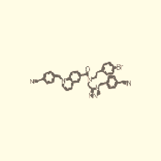 N#Cc1ccc(Cn2cnnc2CN(CCc2ccc(Br)cc2)C(=O)c2ccc3c(ccc[n+]3Cc3ccc(C#N)cc3)c2)cc1